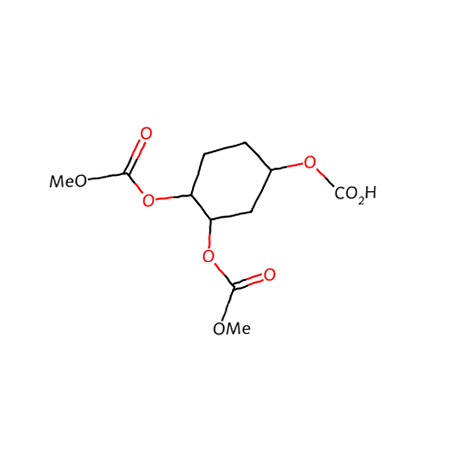 COC(=O)OC1CCC(OC(=O)O)CC1OC(=O)OC